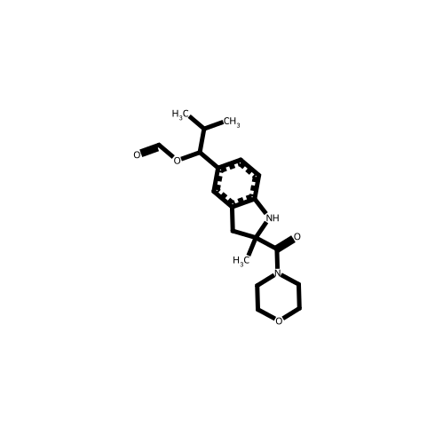 CC(C)C(OC=O)c1ccc2c(c1)CC(C)(C(=O)N1CCOCC1)N2